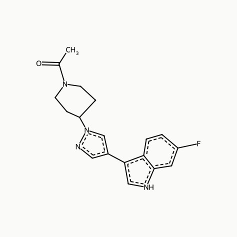 CC(=O)N1CCC(n2cc(-c3c[nH]c4cc(F)ccc34)cn2)CC1